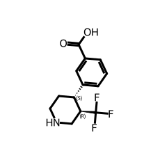 O=C(O)c1cccc([C@H]2CCNC[C@@H]2C(F)(F)F)c1